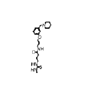 CNC(=S)NCCCC(=O)NCCCOc1cccc(CN2CCCCC2)c1